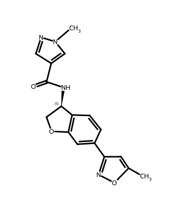 Cc1cc(-c2ccc3c(c2)OC[C@H]3NC(=O)c2cnn(C)c2)no1